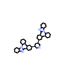 c1ccc2c(c1)nc1c3ccc(-c4cncc(-c5ccc6c(c5)c5ccccc5n5c7ccccc7nc65)c4)cc3c3ccccc3n21